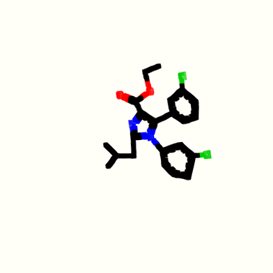 CCOC(=O)c1nc(CC(C)C)n(-c2cccc(Cl)c2)c1-c1cccc(Cl)c1